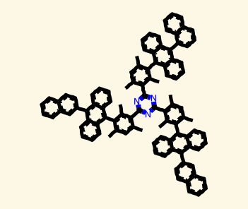 Cc1cc(C)c(-c2c3ccccc3c(-c3ccc4ccccc4c3)c3ccccc23)c(C)c1-c1nc(-c2c(C)cc(C)c(-c3c4ccccc4c(-c4ccc5ccccc5c4)c4ccccc34)c2C)nc(-c2c(C)cc(C)c(-c3c4ccccc4c(-c4cccc5ccccc45)c4ccccc34)c2C)n1